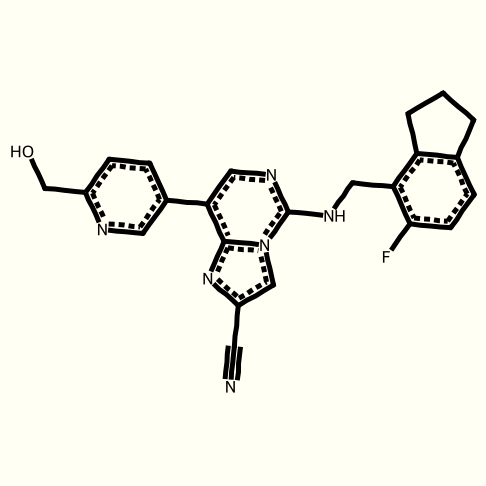 N#Cc1cn2c(NCc3c(F)ccc4c3CCC4)ncc(-c3ccc(CO)nc3)c2n1